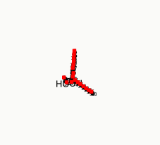 CCCC(=O)O.CCCCCCCCCCCCCCSCCC(SCCCCCCCCCCCCCC)C(=O)O